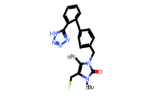 CCCc1c(CF)n(C(C)(C)C)c(=O)n1Cc1ccc(-c2ccccc2-c2nnn[nH]2)cc1